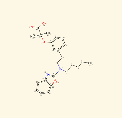 CCCCCN(CCc1cccc(OC(C)(C)C(=O)O)c1)c1nc2ccccc2o1